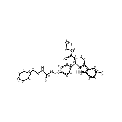 CCOC(=O)N1CCc2c([nH]c3ccc(Cl)cc23)C1c1ccc(OCC(=O)NCCN2CCOCC2)cc1